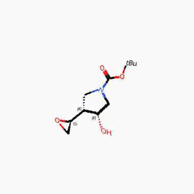 CC(C)(C)OC(=O)N1C[C@@H]([C@H]2CO2)[C@@H](O)C1